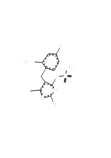 COc1cc(Br)ccc1Cc1c(C)nc(N)nc1OS(=O)(=O)SC